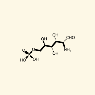 N[C@@H](C=O)[C@@H](O)[C@H](O)[C@H](O)COP(=O)(O)O